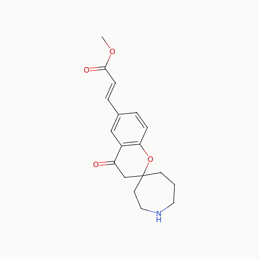 COC(=O)/C=C/c1ccc2c(c1)C(=O)CC1(CCCNCC1)O2